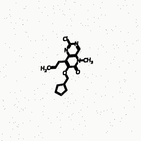 C=CCc1c(OCC2CCCC2)c(=O)n(C)c2cnc(Cl)nc12